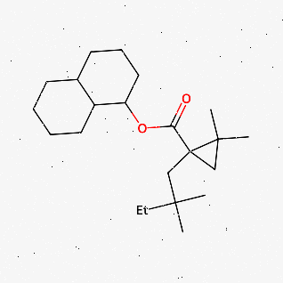 CCC(C)(C)CC1(C(=O)OC2CCCC3CCCCC32)CC1(C)C